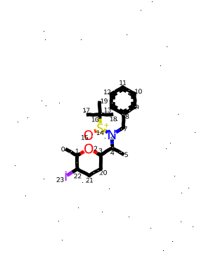 CC1OC(C(C)N(Cc2ccccc2)[S+]([O-])C(C)(C)C)CCC1I